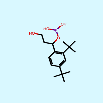 CC(C)(C)c1ccc(C(CCO)OP(O)O)c(C(C)(C)C)c1